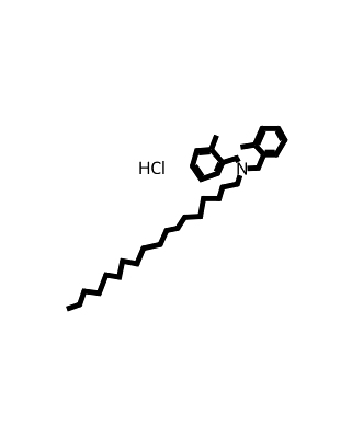 CCCCCCCCCCCCCCCCCCN(Cc1ccccc1C)Cc1ccccc1C.Cl